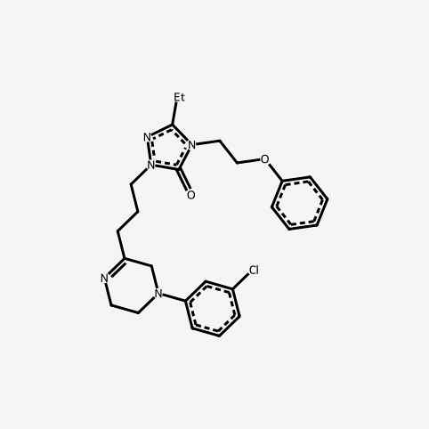 CCc1nn(CCCC2=NCCN(c3cccc(Cl)c3)C2)c(=O)n1CCOc1ccccc1